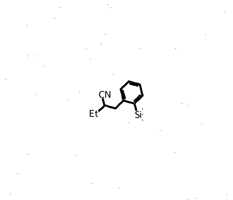 CCC(C#N)Cc1ccccc1[Si]